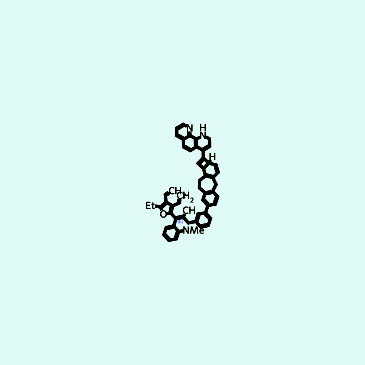 C=Cc1c(CC)oc(/C(=C(\C)Cc2cccc(-c3ccc4c(c3)CCC3=C(C=C[C@H]5C(C6=CCNc7c6ccc6cccnc76)=CC35)C4)c2)c2ccccc2NC)c1C=C